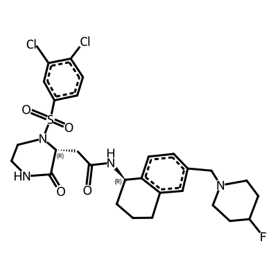 O=C(C[C@@H]1C(=O)NCCN1S(=O)(=O)c1ccc(Cl)c(Cl)c1)N[C@@H]1CCCc2cc(CN3CCC(F)CC3)ccc21